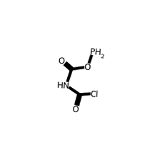 O=C(Cl)NC(=O)OP